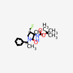 C[C@H](c1ccccc1)N1C[C@H](CF)[C@](C)(NC(=O)OC(C)(C)C)C1=O